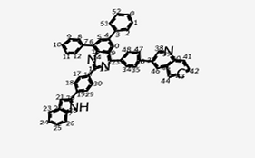 c1ccc(-c2cc(-c3ccccc3)c3nc(-c4ccc(-c5cc6ccccc6[nH]5)cc4)nc(-c4ccc(-c5cnc6ccccc6c5)cc4)c3c2)cc1